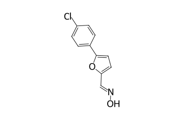 O/N=C/c1ccc(-c2ccc(Cl)cc2)o1